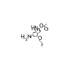 C=CCOc1cc(N)cc2[nH]c(OC(C)=O)cc12